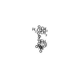 Cc1c(-c2ccccc2)c(C)c(-c2cccc(-c3ccc(-c4ccc5c(c4)C(C)(C)c4cc6c(cc4-5)c4ccccc4n6-c4nc(-c5ccccc5)nc(-c5ccccc5)n4)s3)c2)c(C)c1-c1ccccc1